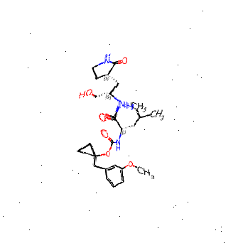 COc1cccc(CC2(OC(=O)N[C@@H](CC(C)C)C(=O)N[C@H](CO)C[C@@H]3CCNC3=O)CC2)c1